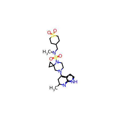 CC1CC(N2CCN(S(=O)(=O)N(C)CC3CCS(=O)(=O)CC3)C3(CC3)C2)=c2cc[nH]c2=N1